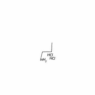 CC[CH2][InH2].Cl.Cl